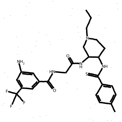 CCCN1CCC(NC(=S)c2ccc(C)cc2)C(NC(=O)CNC(=O)c2cc(N)cc(C(F)(F)F)c2)C1